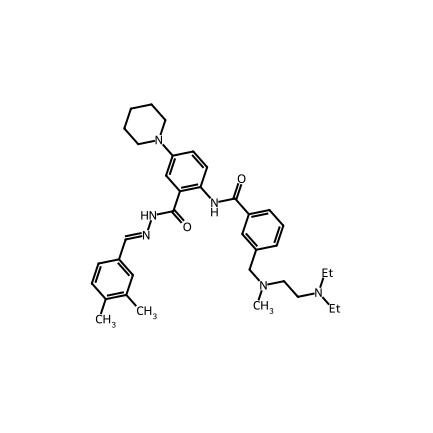 CCN(CC)CCN(C)Cc1cccc(C(=O)Nc2ccc(N3CCCCC3)cc2C(=O)NN=Cc2ccc(C)c(C)c2)c1